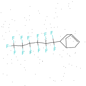 FC(F)(F)C(F)(F)C(F)(F)C(F)(F)C(F)(F)C(F)(F)C1CC2=CCC1C2